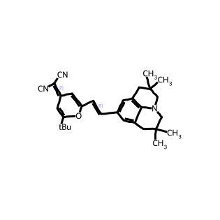 [C-]#[N+]/C(C#N)=C1C=C(/C=C/c2cc3c4c(c2)CC(C)(C)CN4CC(C)(C)C3)OC(C(C)(C)C)=C/1